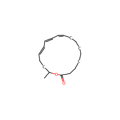 CC1CC/C=C/C=C/C=C\CCCCCCCC(=O)O1